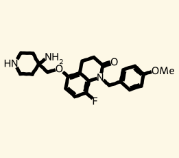 COc1ccc(CN2C(=O)CCc3c(OCC4(N)CCNCC4)ccc(F)c32)cc1